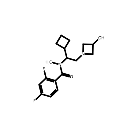 CN(C(=O)c1ccc(F)cc1F)C(CN1CC(O)C1)C1CCC1